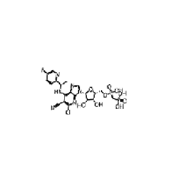 C[C@@H](Nc1c(C#N)c(Cl)nc2c1ncn2[C@@H]1O[C@H](COP(=O)(O)CP(=O)(O)O)[C@@H](O)[C@H]1O)c1ccc(F)cn1